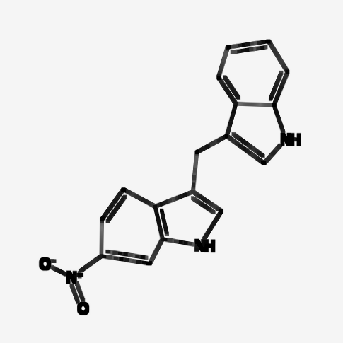 O=[N+]([O-])c1ccc2c(Cc3c[nH]c4ccccc34)c[nH]c2c1